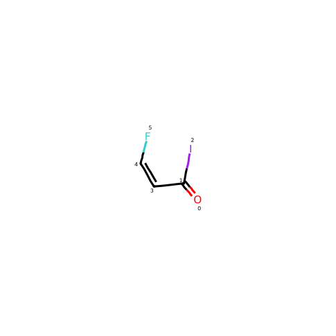 O=C(I)/C=C\F